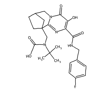 CC(C)(C)N(CC12CCC(Cn3c1nc(C(=O)NCc1ccc(F)cc1)c(O)c3=O)C2)C(=O)O